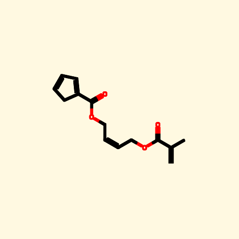 C=C(C)C(=O)OC/C=C\COC(=O)C1=CC=CC1